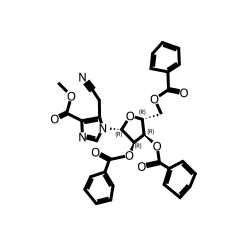 COC(=O)c1ncn([C@@H]2O[C@H](COC(=O)c3ccccc3)[C@@H](OC(=O)c3ccccc3)[C@H]2OC(=O)c2ccccc2)c1CC#N